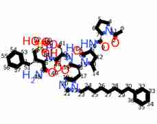 CC(=O)N1CCC[C@H]1C(=O)N[C@H]1CC(C)N([C@@H](Cc2cncn2CCCCCCCCc2ccccc2)C(=O)N[C@@H](CO)C(=O)N[C@@H](C(N)=O)[C@H](Cc2ccccc2)CP(=O)(O)O)C1=O